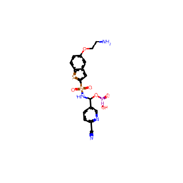 N#Cc1ccc(C(NS(=O)(=O)c2cc3cc(OCCN)ccc3s2)O[PH](=O)O)cn1